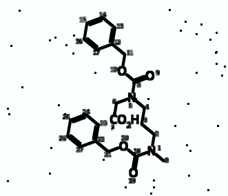 CN(CCCN(CC(=O)O)C(=O)OCc1ccccc1)C(=O)OCc1ccccc1